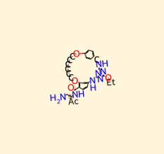 CCOc1nc2nc(n1)Nc1ccc(C(=O)N[C@@H](CN)C(C)=O)c(c1)OCCCCCCOc1ccc(cc1)CN2